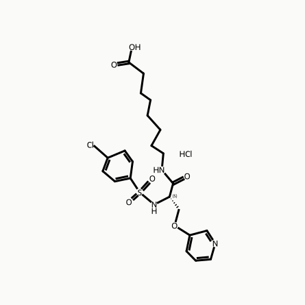 Cl.O=C(O)CCCCCCCNC(=O)[C@H](COc1cccnc1)NS(=O)(=O)c1ccc(Cl)cc1